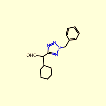 O=CC(c1nnn(Cc2ccccc2)n1)C1CCCCC1